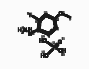 COc1ccc(NN)c(F)c1.O=P(O)(O)O